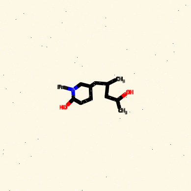 CC(O)CC(C)CC1CCC(O)N(C(C)C)C1